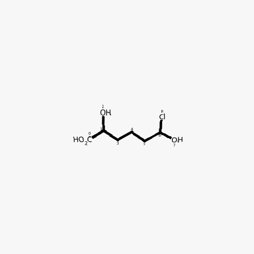 O=C(O)C(O)CCCC(O)Cl